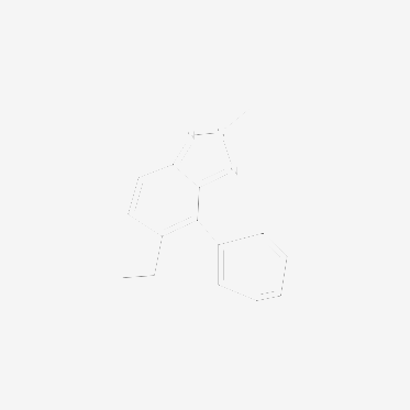 CCc1ccc2nn(C)nc2c1-c1ccccc1